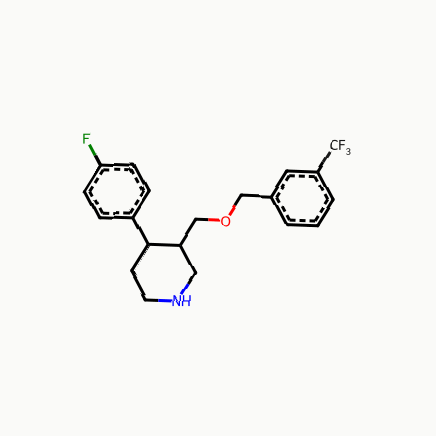 Fc1ccc(C2CCNCC2COCc2cccc(C(F)(F)F)c2)cc1